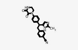 Cc1ncc(C(Cc2ccc(C#N)cc2)c2ccc(N3CCNC(=O)C3=O)cc2)[nH]1